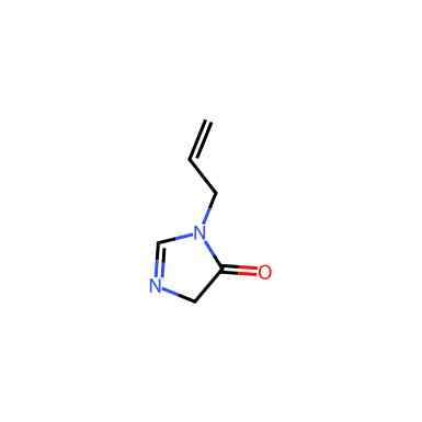 C=CCN1C=NCC1=O